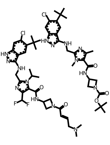 CC(C)n1c(CNc2n[nH]c3cc(Cl)c(C(C)(C)C)cc23)nc(C(F)F)c1C(=O)NC1CN(C(=O)C=CCN(C)C)C1.Cc1nc(CNc2n[nH]c3cc(Cl)c(C(C)(C)C)cc23)n(C)c1C(=O)NC1CN(C(=O)OC(C)(C)C)C1